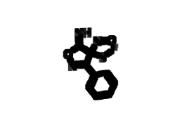 N=C1ON=C(c2ccccc2)C1(N=O)SF